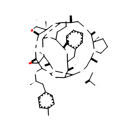 C[C@@H]1NC(=O)[C@@H]2CCCN2C(=O)[C@H](CC(N)=O)NC2S[S+]([O-])C(=O)[C@H](CS)NC3N[C@@H](CCC(=O)O)C(=O)N[C@@H](Cc4ccc(O)cc4)C(=O)C2SSC(N[C@H](C=O)Cc2ccc(O)cc2)C(=O)CNC(=O)[C@H]([C@@H](C)O)NC(SS3)C1=O